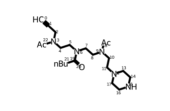 C#CCN(CCN(CCN(CCN1CCNCC1)C(C)=O)C(=O)CCCC)C(C)=O